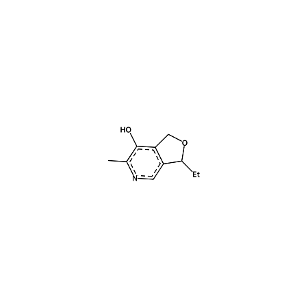 CCC1OCc2c1cnc(C)c2O